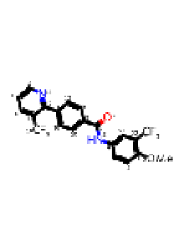 COc1ccc(NC(=O)c2ccc(-c3ncccc3C(F)(F)F)cc2)cc1C(F)(F)F